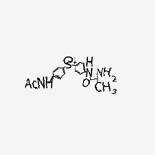 CC(=O)Nc1ccc([S+]([O-])c2ccc(NC(=O)C(C)N)cc2)cc1